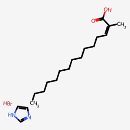 Br.CCCCCCCCCCCCC=C(C)C(=O)O.c1c[nH]cn1